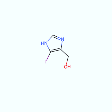 OCc1nc[nH]c1I